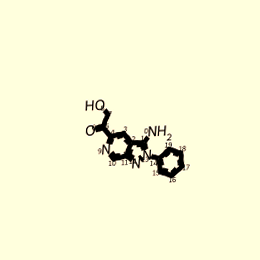 Nc1c2cc(C(=O)CO)ncc2nn1-c1ccccc1